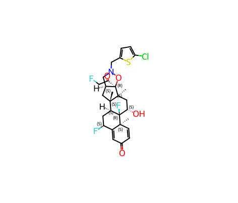 C[C@]12C[C@H](O)[C@@]3(F)[C@@H](C[C@H](F)C4=CC(=O)C=C[C@@]43C)[C@]1(C)C[C@H]1CN(Cc3ccc(Cl)s3)O[C@]12C(=O)CF